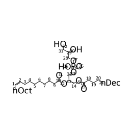 CCCCCCCC/C=C\CCCCCCCC(=O)O[C@H](COC(=O)CCCCCCCCCCCCC)COP(=O)(O)OC[C@@H](O)CO